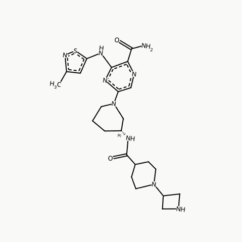 Cc1cc(Nc2nc(N3CCC[C@@H](NC(=O)C4CCN(C5CNC5)CC4)C3)cnc2C(N)=O)sn1